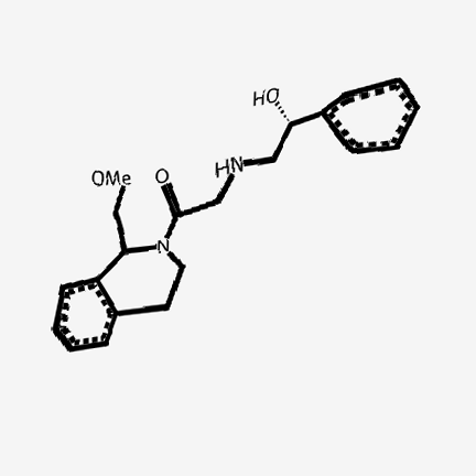 COCC1c2ccccc2CCN1C(=O)CNC[C@H](O)c1ccccc1